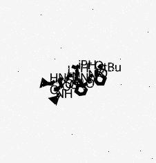 CC(C)C(C)CN(C(=O)[C@@H](NC(=O)NC1(CS(=O)(=O)C(C)(C)C)CCCCC1)C1(C)CCCCC1)[C@@H](I)C(=O)N[C@@H](CCC1CC1)C(=O)C(=O)NC1CC1